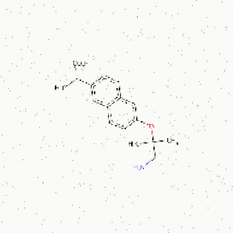 C[C@H](C(=O)O)c1ccc2cc(OC(C)(C)CN)ccc2c1